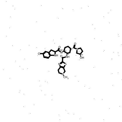 CN1CCc2nc(C(=O)N[C@@H]3C[C@@H](C(=O)N4CC[C@@H](O)C4)CC[C@@H]3NC(=O)C3Cc4cc(Cl)ccc4N3)sc2C1